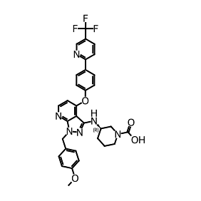 COc1ccc(Cn2nc(N[C@@H]3CCCN(C(=O)O)C3)c3c(Oc4ccc(-c5ccc(C(F)(F)F)cn5)cc4)ccnc32)cc1